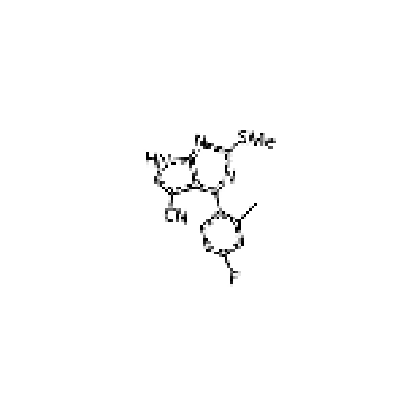 CSc1nc(-c2ccc(F)cc2C)c2c(C#N)c[nH]c2n1